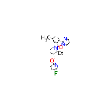 CCC1[C@H](COc2ccc(F)cn2)CCCN1C(=O)c1cc(C)ccc1-c1ncccn1